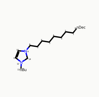 CCCCCCCCCCCCCCCCCCN1C=CN(CCCC)C1